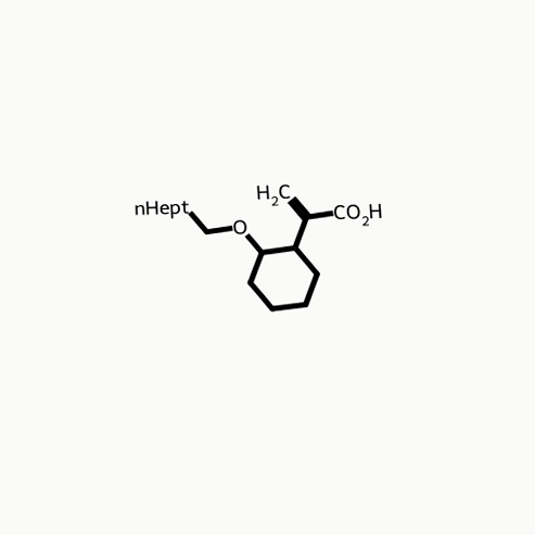 C=C(C(=O)O)C1CCCCC1OCCCCCCCC